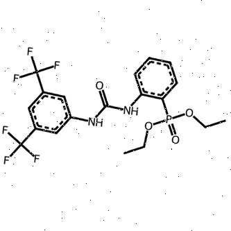 CCOP(=O)(OCC)c1ccccc1NC(=O)Nc1cc(C(F)(F)F)cc(C(F)(F)F)c1